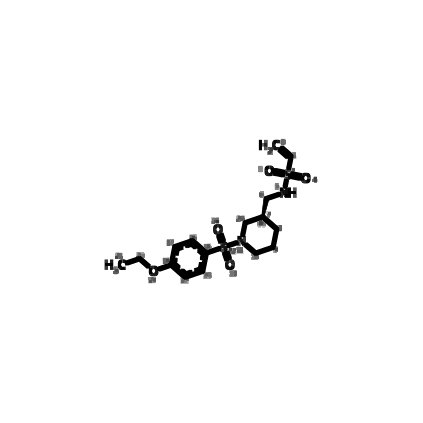 C=CS(=O)(=O)NC[C@H]1CCCN(S(=O)(=O)c2ccc(OCC)cc2)C1